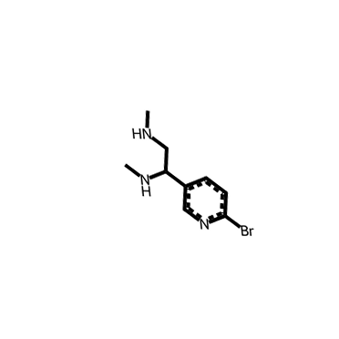 CNCC(NC)c1ccc(Br)nc1